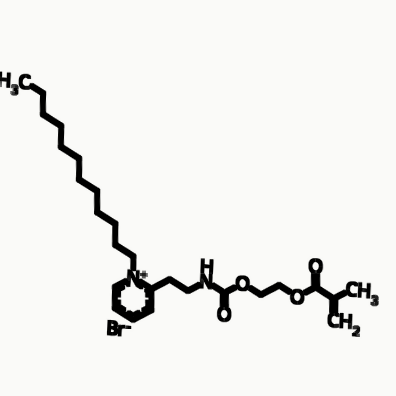 C=C(C)C(=O)OCCOC(=O)NCCc1cccc[n+]1CCCCCCCCCCCC.[Br-]